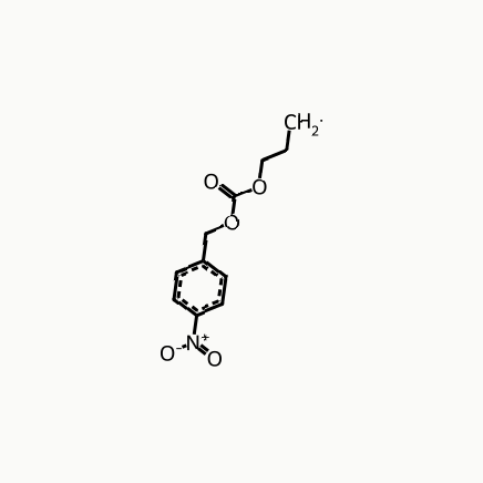 [CH2]CCOC(=O)OCc1ccc([N+](=O)[O-])cc1